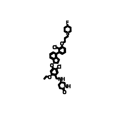 CCOc1cc(O[C@H]2CCc3c(-c4cccc(OCCCN5CCC(F)CC5)c4Cl)cccc32)c(Cl)cc1CN[C@@H]1CCC(=O)NC1